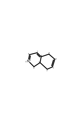 C1=CCC2C[N+]=CC=C2C1